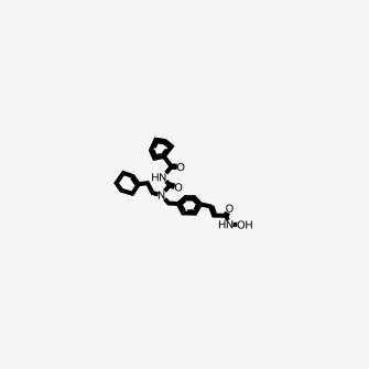 O=C(/C=C/c1ccc(CN(CCC2=CCCCC2)C(=O)NC(=O)c2ccccc2)cc1)NO